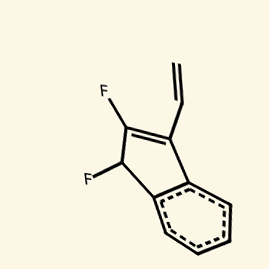 C=CC1=C(F)C(F)c2ccccc21